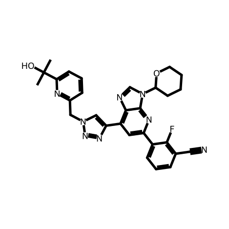 CC(C)(O)c1cccc(Cn2cc(-c3cc(-c4cccc(C#N)c4F)nc4c3ncn4C3CCCCO3)nn2)n1